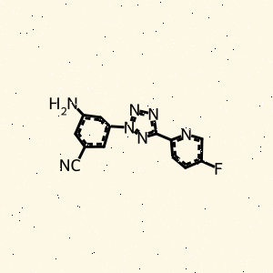 N#Cc1cc(N)cc(-n2nnc(-c3ccc(F)cn3)n2)c1